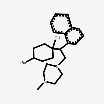 CN1CCN(CC(c2cccc3ccccc23)C2(O)CCC(C(C)(C)C)CC2)CC1